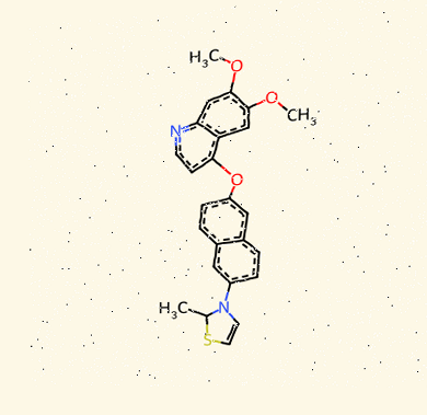 COc1cc2nccc(Oc3ccc4cc(N5C=CSC5C)ccc4c3)c2cc1OC